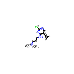 CN(C)CCCNc1nc(Cl)ncc1C1CC1